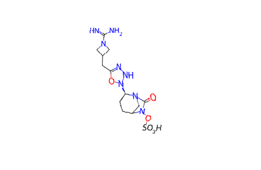 N=C(N)N1CC(CC2=NNN([C@@H]3CCC4CN3C(=O)N4OS(=O)(=O)O)O2)C1